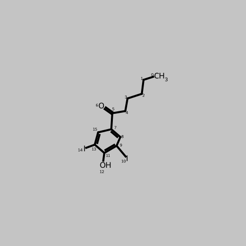 CCCCCC(=O)c1cc(I)c(O)c(I)c1